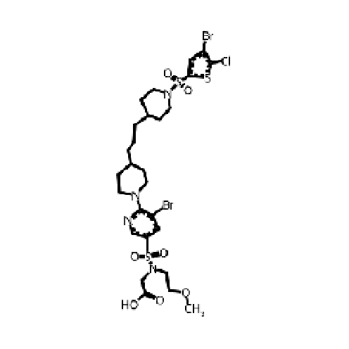 COCCN(CC(=O)O)S(=O)(=O)c1cnc(N2CCC(CCCC3CCN(S(=O)(=O)c4cc(Br)c(Cl)s4)CC3)CC2)c(Br)c1